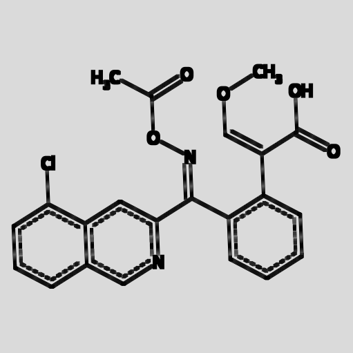 COC=C(C(=O)O)c1ccccc1C(=NOC(C)=O)c1cc2c(Cl)cccc2cn1